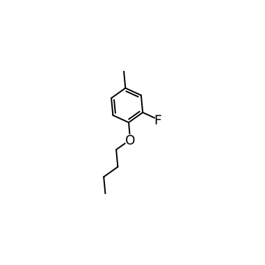 CCCCOc1ccc(C)cc1F